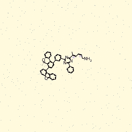 C/C(=C\C=C/CN)c1nc(-c2ccccc2)nc(-c2cccc(-c3ccc(-c4cccc5oc6ccccc6c45)c4c3-c3ccccc3O[C@H]4C)c2)n1